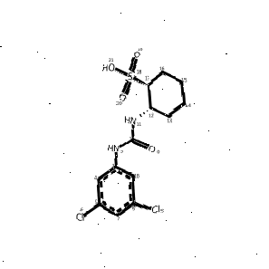 O=C(Nc1cc(Cl)cc(Cl)c1)N[C@H]1CCCC[C@@H]1S(=O)(=O)O